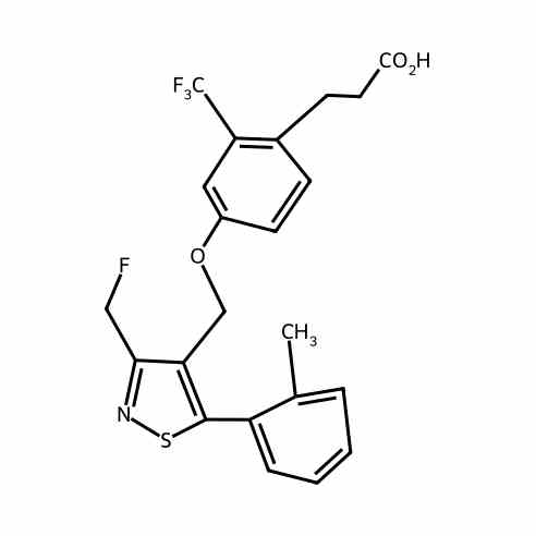 Cc1ccccc1-c1snc(CF)c1COc1ccc(CCC(=O)O)c(C(F)(F)F)c1